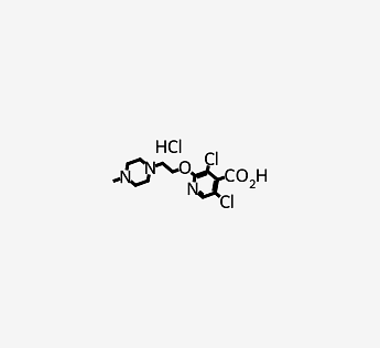 CN1CCN(CCOc2ncc(Cl)c(C(=O)O)c2Cl)CC1.Cl